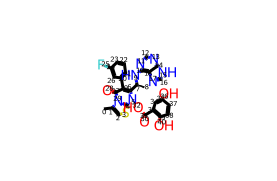 Cc1csc2nc([C@H](C)Nc3ncnc4[nH]cnc34)c(-c3cccc(F)c3)c(=O)n12.O=C(O)c1cc(O)ccc1O